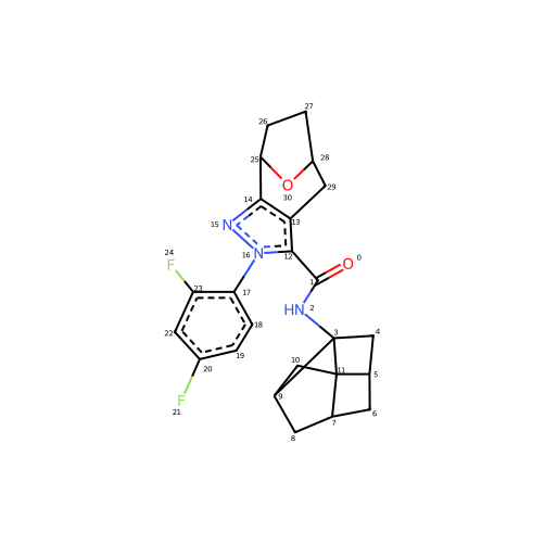 O=C(NC12CC3CC4CC1CC432)c1c2c(nn1-c1ccc(F)cc1F)C1CCC(C2)O1